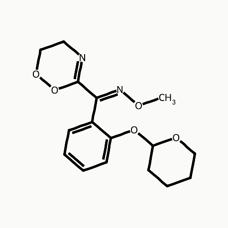 CON=C(C1=NCCOO1)c1ccccc1OC1CCCCO1